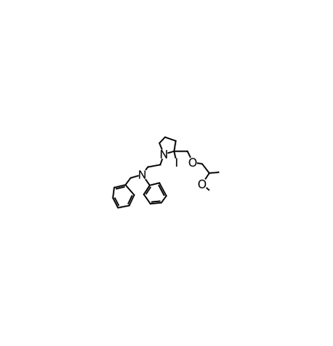 COC(C)COCC1(I)CCCN1CCN(Cc1ccccc1)c1ccccc1